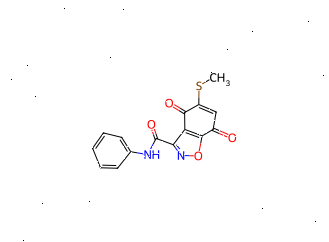 CSC1=CC(=O)c2onc(C(=O)Nc3ccccc3)c2C1=O